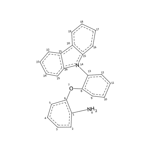 Nc1ccccc1Oc1ccccc1-n1c2ccccc2c2ccccc21